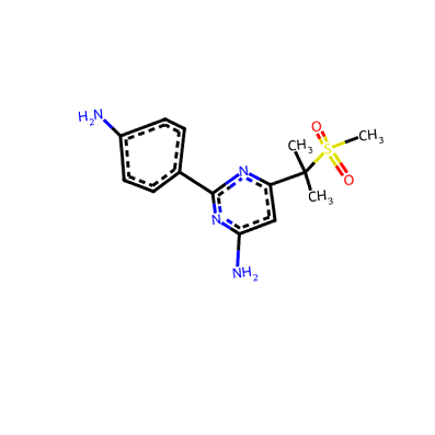 CC(C)(c1cc(N)nc(-c2ccc(N)cc2)n1)S(C)(=O)=O